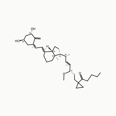 C=C1/C(=C\C=C2/CCC[C@]3(C)[C@@H]([C@H](C)/C=C/[C@H](CCC4(C(=O)CCCC)CC4)OC)CC[C@@H]23)C[C@@H](O)C[C@@H]1O